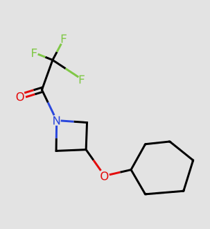 O=C(N1CC(OC2CCCCC2)C1)C(F)(F)F